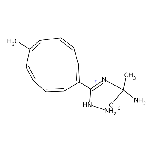 Cc1ccccc(/C(=N/C(C)(C)N)NN)cccc1